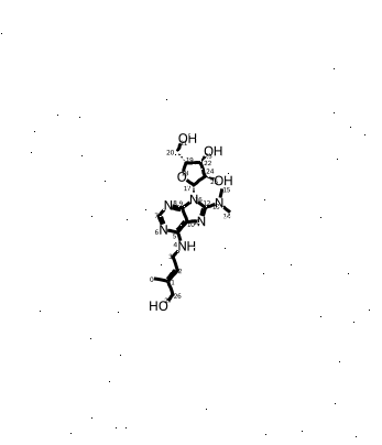 C/C(=C\CNc1ncnc2c1nc(N(C)C)n2[C@@H]1O[C@H](CO)[C@@H](O)[C@H]1O)CO